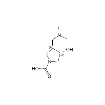 CN(C)C[C@@H]1CN(C(=O)O)C[C@H]1O